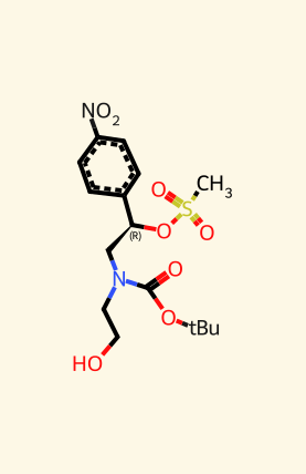 CC(C)(C)OC(=O)N(CCO)C[C@H](OS(C)(=O)=O)c1ccc([N+](=O)[O-])cc1